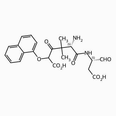 CC(C)(C(=O)C(Oc1cccc2ccccc12)C(=O)O)[C@H](N)C(=O)N[C@H](C=O)CC(=O)O